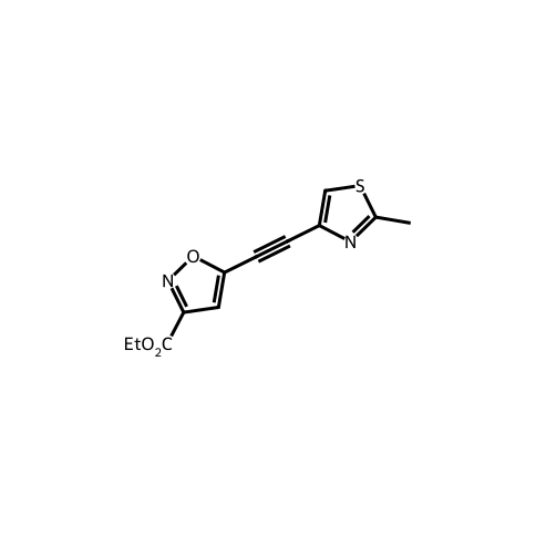 CCOC(=O)c1cc(C#Cc2csc(C)n2)on1